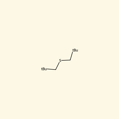 CC(C)(C)CSCC(C)(C)C